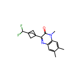 Cc1cc2nc(C34CC(C(F)F)(C3)C4)c(=O)n(C)c2cc1C